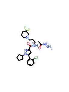 NNC(=O)C[C@H](CCN1CCCC(F)(F)C1)NC(=O)c1cc(-c2ccccc2Cl)n(C2CCCC2)n1